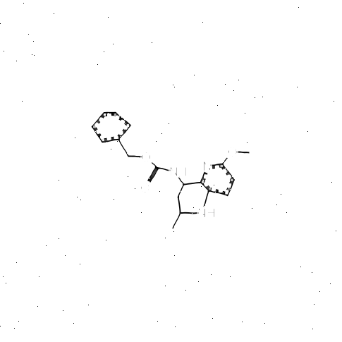 COc1ccc2c(n1)C(NC(=O)OCc1ccccc1)CC(C)N2